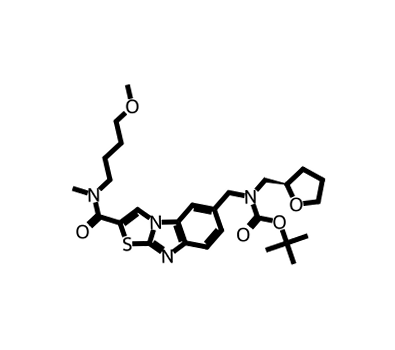 COCCCCN(C)C(=O)c1cn2c(nc3ccc(CN(C[C@H]4CCCO4)C(=O)OC(C)(C)C)cc32)s1